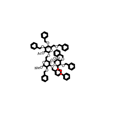 CO[C@H]1OC(CO[C@H]2OC(COCc3ccccc3)[C@@H](OCc3ccccc3)C(OCc3ccccc3)C2OC(C)=O)[C@@H](O[C@H]2OC(COCc3ccccc3)[C@@H](OCc3ccccc3)C(OCc3ccccc3)C2OC(C)=O)C(OCc2ccccc2)C1OCc1ccccc1